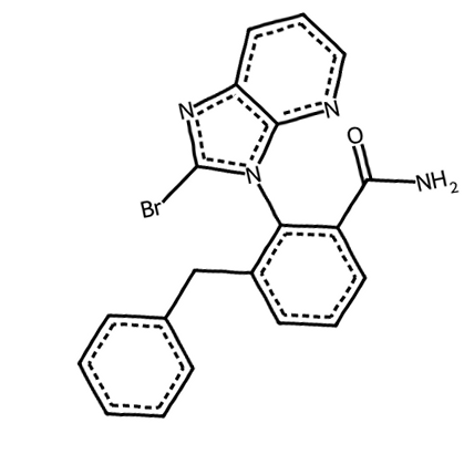 NC(=O)c1cccc(Cc2ccccc2)c1-n1c(Br)nc2cccnc21